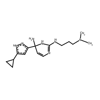 CN(C)CCCNC1=NC=CC(N)(c2cc(C3CC3)[nH]n2)N1